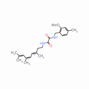 COc1cc(C)ccc1CNC(=O)C(=O)NCC/C(C)=C/C=C(/C)C=C(C)C